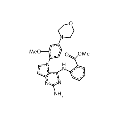 COC(=O)c1ccccc1Nc1nc(N)nc2ccn(-c3ccc(N4CCOCC4)cc3OC)c12